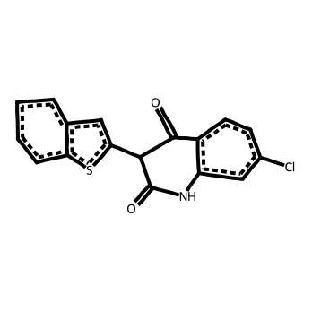 O=C1Nc2cc(Cl)ccc2C(=O)C1c1cc2ccccc2s1